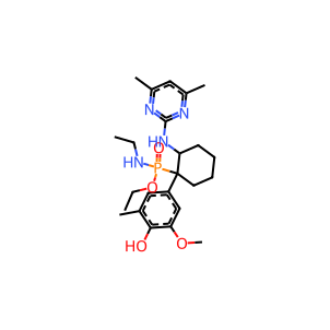 CCNP(=O)(OCC)C1(c2cc(C)c(O)c(OC)c2)CCCCC1Nc1nc(C)cc(C)n1